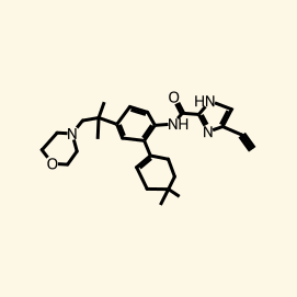 C#Cc1c[nH]c(C(=O)Nc2ccc(C(C)(C)CN3CCOCC3)cc2C2=CCC(C)(C)CC2)n1